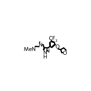 CNCCN(C)Cc1c[nH]nc1-c1cc(OCC2CCOC2)cc(C(F)(F)F)c1